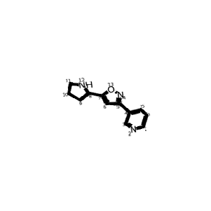 c1cncc(-c2cc(C3CCCN3)on2)c1